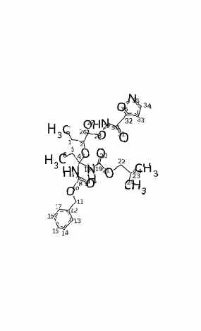 CCC(OC(CC)(NC(=O)OCc1ccccc1)NC(=O)OCC(C)C)C(=O)ONC(=O)c1ccno1